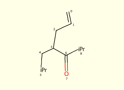 C=CCC(CC(C)C)C(=O)C(C)C